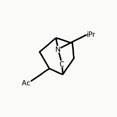 CC(=O)C1CC2CCC1CN2C(C)C